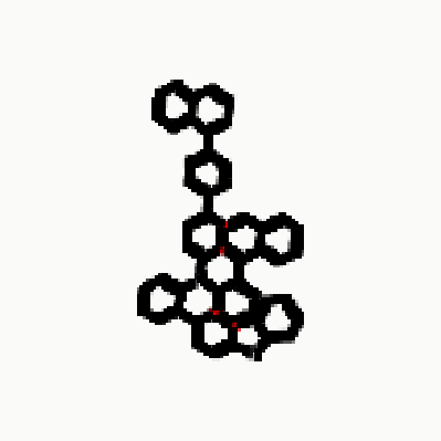 c1ccc(N(c2ccc(-c3ccc(-c4cccc5ccccc45)cc3)cc2)c2ccccc2-c2cccc3ccccc23)c(-c2ccc3oc4ccccc4c3c2)c1